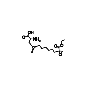 C=C1C(CCCCCCC2(C(=O)OCC)CO2)C1CC(N)C(=O)O